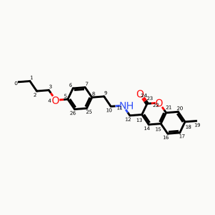 CCCCOc1ccc(CCNCc2cc3ccc(C)cc3oc2=O)cc1